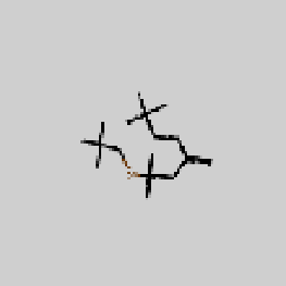 C=C(CCC(C)(C)C)CC(C)(C)SCC(C)(C)C